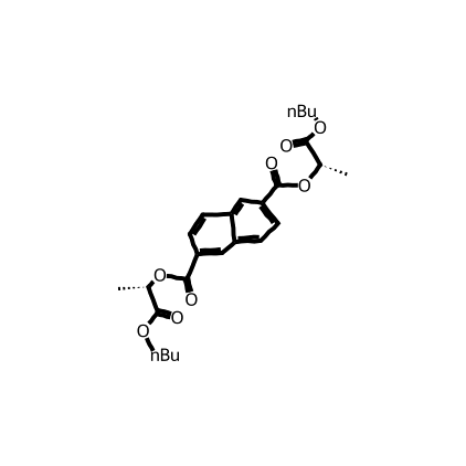 CCCCOC(=O)[C@H](C)OC(=O)c1ccc2cc(C(=O)O[C@@H](C)C(=O)OCCCC)ccc2c1